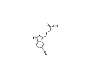 N#Cc1ccc2[nH]cc(CCCC(=O)O)c2c1